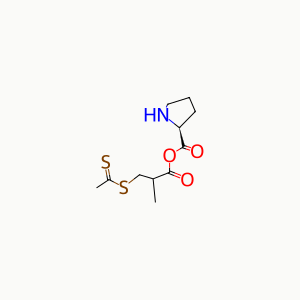 CC(=S)SCC(C)C(=O)OC(=O)[C@@H]1CCCN1